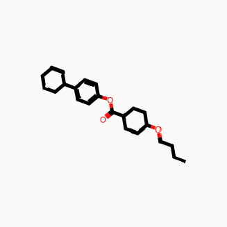 CCCCOC1CCC(C(=O)Oc2ccc(C3CCCCC3)cc2)CC1